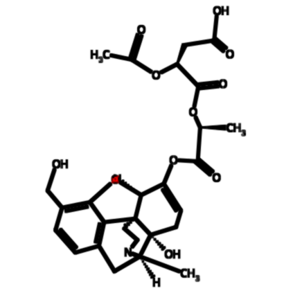 CC(=O)O[C@@H](CC(=O)O)C(=O)O[C@@H](C)C(=O)OC1=CC[C@@]2(O)[C@H]3Cc4ccc(CO)c5c4[C@@]2(CCN3C)[C@H]1O5